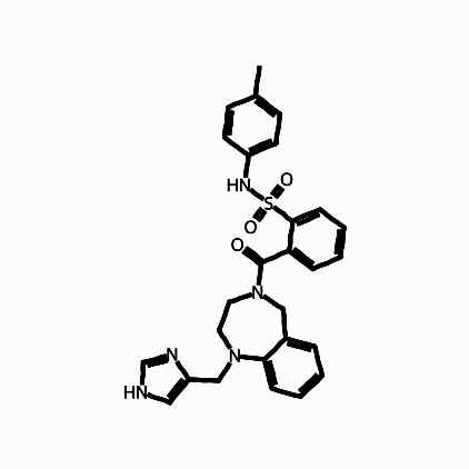 Cc1ccc(NS(=O)(=O)c2ccccc2C(=O)N2CCN(Cc3c[nH]cn3)c3ccccc3C2)cc1